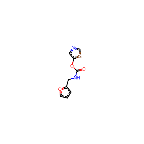 O=C(NCc1ccco1)Oc1cncs1